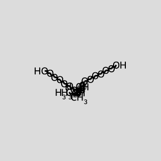 CCC[C@@H](C)[C@H]1CC[C@H]2[C@@H]3CC[C@@H]4C[C@H](OCCOCCOCCOCCOCCOCCO)CC[C@]4(C)[C@H]3C[C@H](OCCOCCOCCOCCOCCOCCO)[C@]12C